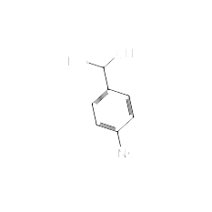 CC(O)c1ccc([N+](=O)[O-])cc1